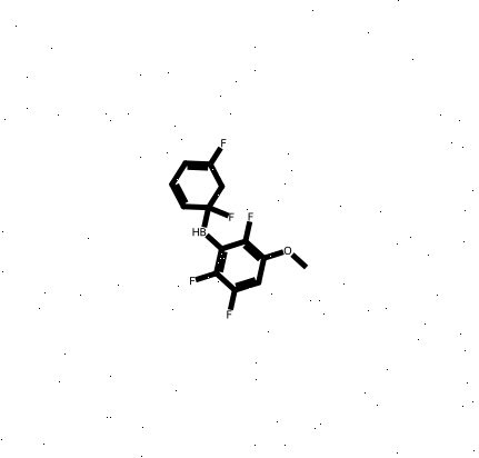 COc1cc(F)c(F)c(BC2(F)C=CC=C(F)C2)c1F